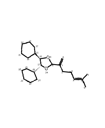 C=C(CCC=C(C)C)C1O[C@H](C2CCCCC2)[C@@H](C2CCCCC2)O1